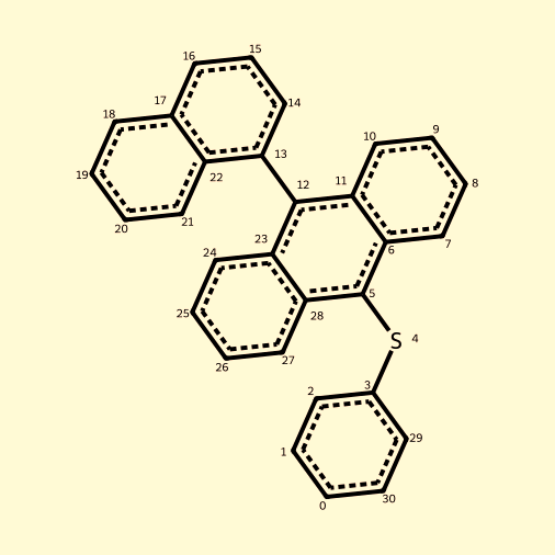 c1ccc(Sc2c3ccccc3c(-c3cccc4ccccc34)c3ccccc23)cc1